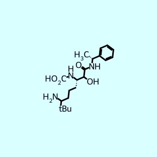 C[C@@H](NC(=O)C(O)[C@H](CCCC(N)C(C)(C)C)NC(=O)O)c1ccccc1